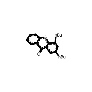 CCCCc1cc(CCCC)c2sc3ccccc3c(=O)c2c1